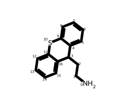 NCCC1c2ccccc2Sc2ccccc21